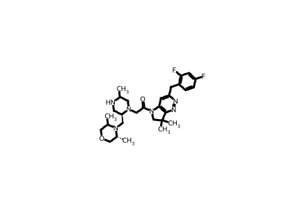 CC1CN(CC(=O)N2CC(C)(C)c3nnc(Cc4ccc(F)cc4F)cc32)[C@@H](CN2C(C)COC[C@H]2C)CN1